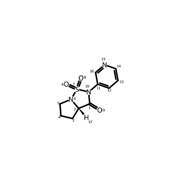 O=C1[C@@H]2CCCN2S(=O)(=O)N1c1cccnc1